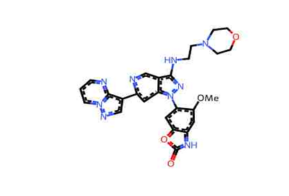 COc1cc2[nH]c(=O)oc2cc1-n1nc(NCCN2CCOCC2)c2cnc(-c3cnn4cccnc34)cc21